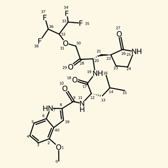 COc1cccc2[nH]c(C(=O)N[C@@H](CC(C)C)C(=O)N[C@@H](C[C@@H]3CCNC3=O)C(=O)COC(C(F)F)C(F)F)cc12